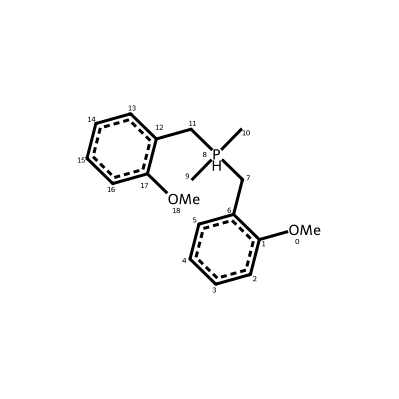 COc1ccccc1C[PH](C)(C)Cc1ccccc1OC